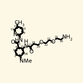 CNc1ccc(C(=O)Nc2ccc(C)cn2)c(NC(=O)CCOCCOCCN)c1